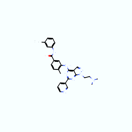 Cc1ccc(C(=O)Nc2cccc(C(F)(F)F)c2)cc1Nc1nc(-c2cccnc2)nc2c1cnn2CCN(C)C